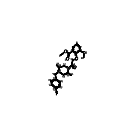 COC(=O)c1cccc(OC)c1OCC(=O)N1CC(C)N(Cc2ccc(F)cc2)CC1C